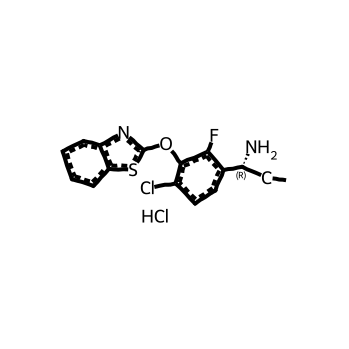 CC[C@@H](N)c1ccc(Cl)c(Oc2nc3ccccc3s2)c1F.Cl